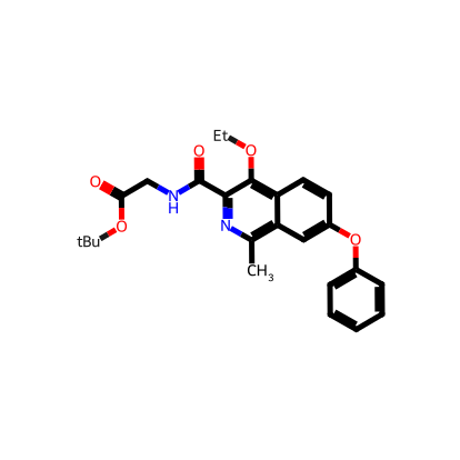 CCOc1c(C(=O)NCC(=O)OC(C)(C)C)nc(C)c2cc(Oc3ccccc3)ccc12